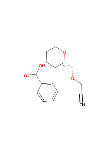 C#CCOC[C@@H]1CCCCO1.O=C(O)c1ccccc1